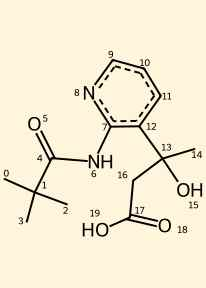 CC(C)(C)C(=O)Nc1ncccc1C(C)(O)CC(=O)O